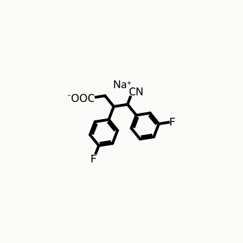 N#CC(c1cccc(F)c1)C(CC(=O)[O-])c1ccc(F)cc1.[Na+]